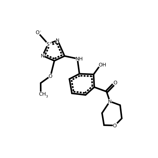 CCOc1n[s+]([O-])nc1Nc1cccc(C(=O)N2CCOCC2)c1O